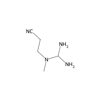 CN(CCC#N)C(N)N